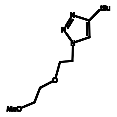 COCCOCCn1cc(C(C)(C)C)nn1